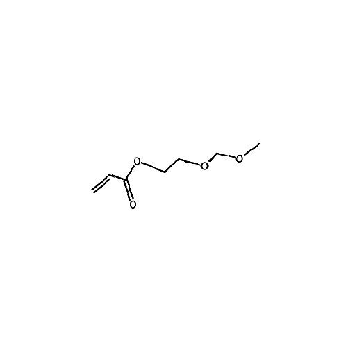 C=CC(=O)OCCOCOC